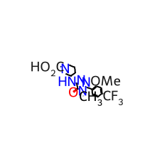 COc1cc(C(F)(F)F)ccc1-c1nnc(N[C@@H]2CCCN(C(=O)O)C2)c(=O)n1C